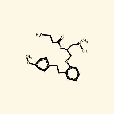 CCCC(=O)OC(COc1ccccc1CCc1ccc(OC)cc1)CN(C)C